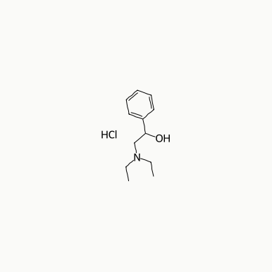 CCN(CC)CC(O)c1ccccc1.Cl